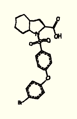 O=C(O)C1CC2CCCCC2N1S(=O)(=O)c1ccc(Oc2ccc(Br)cc2)cc1